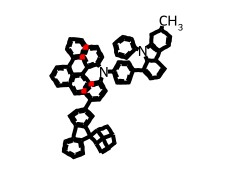 CC1C=CC2=C(C1)N(c1ccccc1)C1C(c3ccc(N(c4ccc(-c5ccc6c(c5)C5(c7ccccc7-6)C6CC7CC8CC76C85)cc4)c4ccccc4-c4cccc5cccc(-c6ccccc6)c45)cc3)=CC=CC21